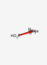 CSCC(N)C(=O)NCCCCCCCCCCCCCCCCC(=O)O